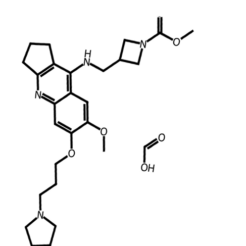 COC(=O)N1CC(CNc2c3c(nc4cc(OCCCN5CCCC5)c(OC)cc24)CCC3)C1.O=CO